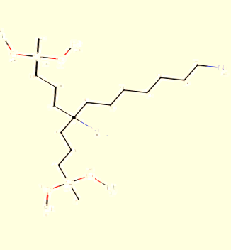 CCO[Si](C)(CCCC(N)(CCCCCCCN)CCC[Si](C)(OCC)OCC)OCC